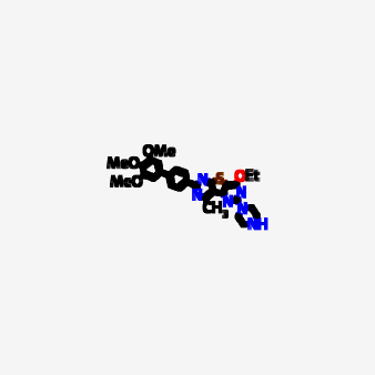 CCOc1nc(N2CCNCC2)nc2c1sc1nc(-c3ccc(-c4cc(OC)c(OC)c(OC)c4)cc3)nc(C)c12